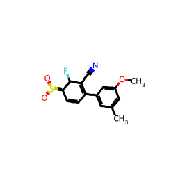 COc1cc(C)cc(C2=C(C#N)C(F)C(=S(=O)=O)C=C2)c1